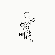 CN(NS(=O)(=O)CC(=O)NN(C)C(=S)C1CC1)C(=S)c1ccccc1